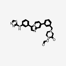 O=CON1CCN(Cc2cccc(-c3ccn4c(-c5cccc(Nc6nncs6)c5)cnc4c3)c2)CC1=O